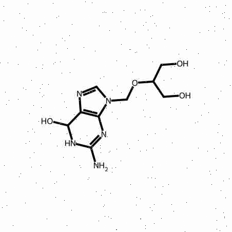 NC1=Nc2c(ncn2COC(CO)CO)C(O)N1